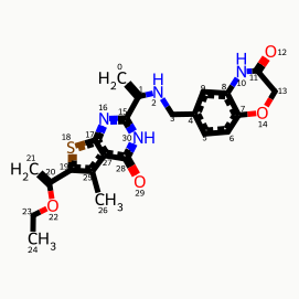 C=C(NCc1ccc2c(c1)NC(=O)CO2)c1nc2sc(C(=C)OCC)c(C)c2c(=O)[nH]1